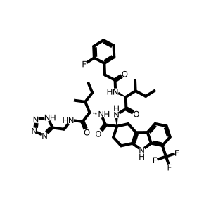 CCC(C)[C@H](NC(=O)Cc1ccccc1F)C(=O)N[C@]1(C(=O)N[C@H](C(=O)NCc2nnn[nH]2)C(C)CC)CCc2[nH]c3c(C(F)(F)F)cccc3c2C1